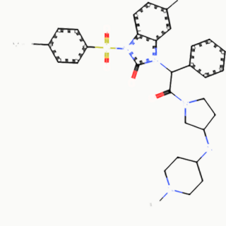 COc1ccc(S(=O)(=O)n2c(=O)n(C(C(=O)N3CCC(NC4CCN(C(C)C)CC4)C3)c3ccccc3)c3cc(C#N)ccc32)cc1